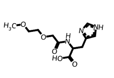 COCCOCC(=O)NC(Cc1c[nH]cn1)C(=O)O